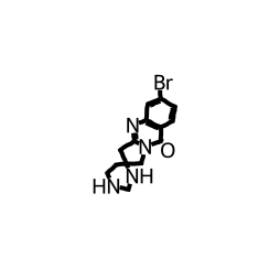 O=c1c2ccc(Br)cc2nc2n1CC1(CCNCN1)C2